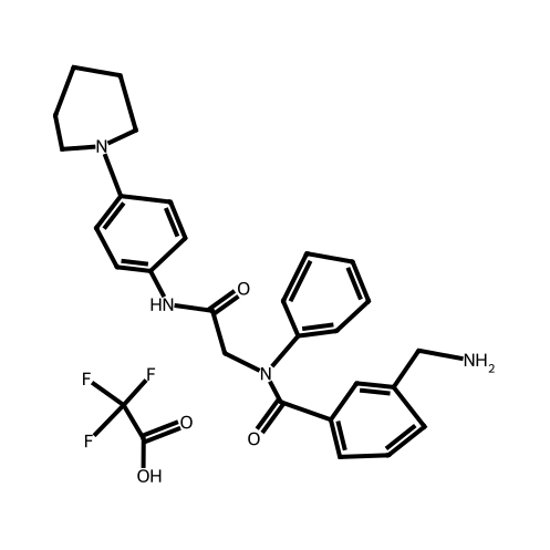 NCc1cccc(C(=O)N(CC(=O)Nc2ccc(N3CCCCC3)cc2)c2ccccc2)c1.O=C(O)C(F)(F)F